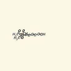 CC(c1ccccc1)c1cc(C(C)c2ccccc2)c(OCCOCCOCCOCCOCCOCCO)c(C(C)c2ccccc2)c1